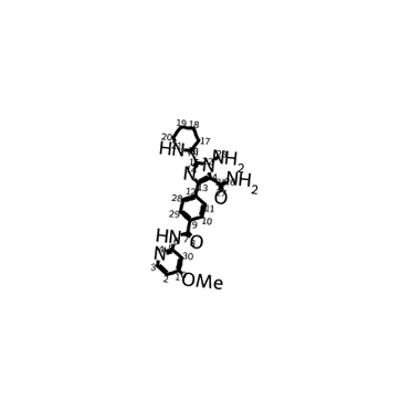 COc1ccnc(NC(=O)c2ccc(-c3nc([C@@H]4CCCCN4)n(N)c3C(N)=O)cc2)c1